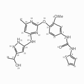 COc1cc(NC(=O)Nc2cccs2)ccc1Oc1nc(C)cc(Nc2cc(C(C)O)n[nH]2)n1